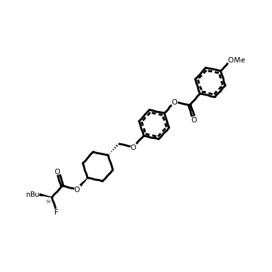 CCCC[C@H](F)C(=O)O[C@H]1CC[C@H](COc2ccc(OC(=O)c3ccc(OC)cc3)cc2)CC1